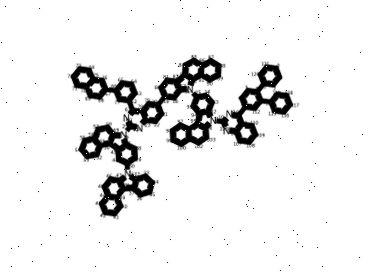 c1ccc(-c2ccc(-c3nc(-n4c5ccc(-n6c7cc(-c8ccc9nc(-n%10c%11ccc(-n%12c%13ccccc%13c%13c%14ccccc%14ccc%13%12)cc%11c%11c%12ccccc%12ccc%11%10)nc(-c%10cccc(-c%11ccc%12ccccc%12c%11)c%10)c9c8)ccc7c7ccc8ccccc8c76)cc5c5c6ccccc6ccc54)nc4ccccc34)cc2-c2ccccc2)cc1